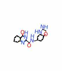 N=C1COc2ccc(CNC(=O)c3nc4ccccc4c(=O)[nH]3)cc2N1